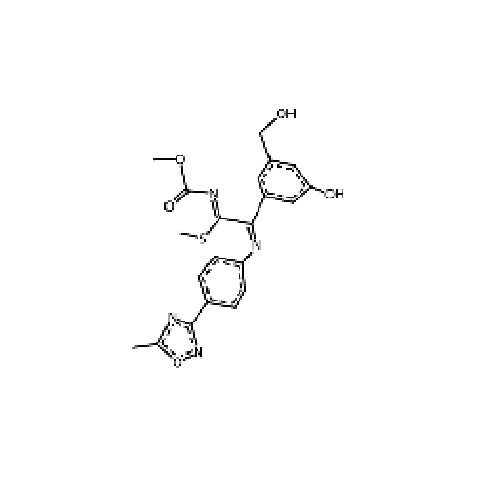 COC(=O)/N=C(SC)/C(=N\c1ccc(-c2noc(C)n2)cc1)c1cc(O)cc(CO)c1